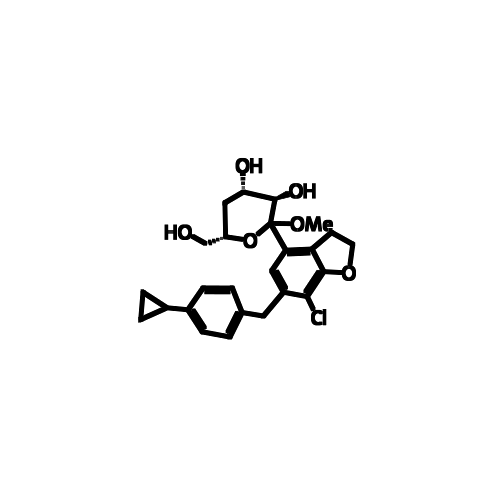 COC1(c2cc(Cc3ccc(C4CC4)cc3)c(Cl)c3c2CCO3)O[C@H](CO)C[C@H](O)[C@H]1O